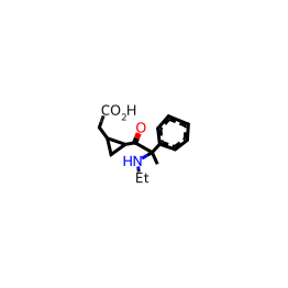 CCNC(C)(C(=O)C1CC1CC(=O)O)c1ccccc1